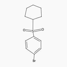 O=S(=O)(c1ccc(Br)cc1)C1CCCCC1